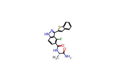 C[C@H](NC(=O)c1ccc2[nH]nc(-c3cc4ccccc4s3)c2c1F)C(N)=O